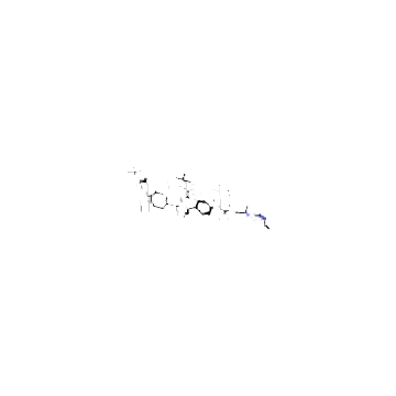 C=C/C=C\N=C(/C)CNC(=O)Nc1ccc(-c2cnc(C3CCC(NC(=O)OC(C)(C)C)CC3)s2)c(S(=O)(=O)NC(C)(C)C)c1